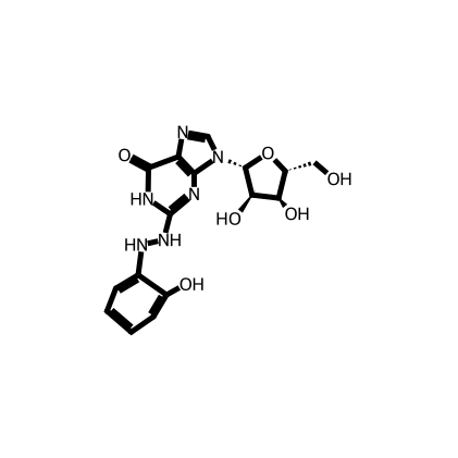 O=c1[nH]c(NNc2ccccc2O)nc2c1ncn2[C@@H]1O[C@H](CO)[C@@H](O)[C@H]1O